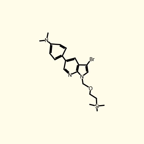 CN(C)c1ccc(-c2cnc3c(c2)c(Br)cn3COCC[Si](C)(C)C)cc1